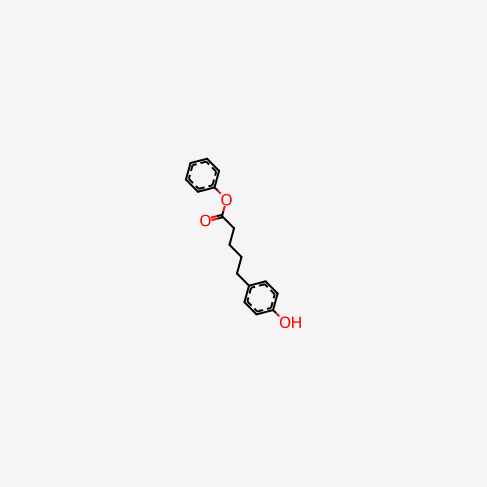 O=C(CCCCc1ccc(O)cc1)Oc1ccccc1